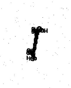 CC(C)(O)C(=O)c1ccc(C(OCCOCCOCCOCCOCCOCCOCCOCCOC(c2ccc(C(=O)C(C)(C)O)cc2)c2ccc(C(=O)C(C)(C)O)cc2)c2ccc(C(=O)C(C)(C)O)cc2)cc1